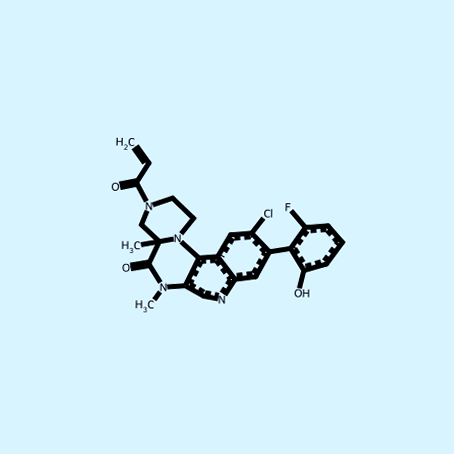 C=CC(=O)N1CCN2c3c(cnc4cc(-c5c(O)cccc5F)c(Cl)cc34)N(C)C(=O)C2(C)C1